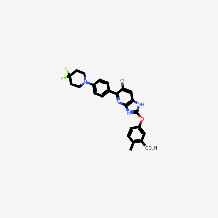 Cc1ccc(Oc2nc3nc(-c4ccc(N5CCC(F)(F)CC5)cc4)c(Cl)cc3[nH]2)cc1C(=O)O